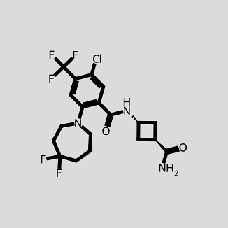 NC(=O)[C@H]1C[C@H](NC(=O)c2cc(Cl)c(C(F)(F)F)cc2N2CCCC(F)(F)CC2)C1